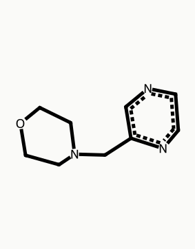 c1cnc(CN2CCOCC2)cn1